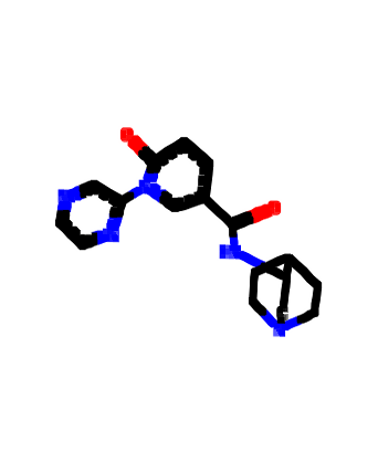 O=C(NC1CN2CCC1CC2)c1ccc(=O)n(-c2cnccn2)c1